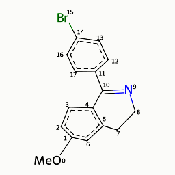 COc1ccc2c(c1)CCN=C2c1ccc(Br)cc1